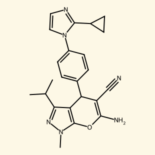 CC(C)c1nn(C)c2c1C(c1ccc(-n3ccnc3C3CC3)cc1)C(C#N)=C(N)O2